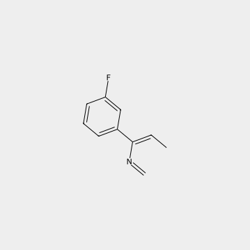 C=N/C(=C\C)c1cccc(F)c1